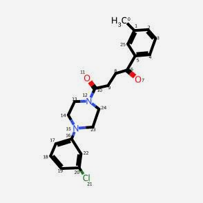 Cc1cccc(C(=O)CCC(=O)N2CCN(c3cccc(Cl)c3)CC2)c1